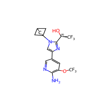 Nc1ncc(-c2cn(C34CC(C3)C4)c([C@@H](O)C(F)(F)F)n2)cc1OC(F)(F)F